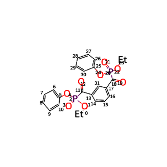 CCOP(=O)(Oc1ccccc1)C(=O)c1cccc(C(=O)P(=O)(OCC)Oc2ccccc2)c1